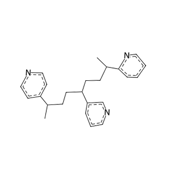 CC(CCC(CCC(C)c1ccccn1)c1cccnc1)c1ccncc1